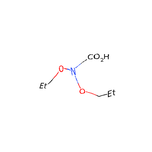 CCON(OCC)C(=O)O